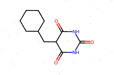 O=C1NC(=O)C(CC2CCCCC2)C(=O)N1